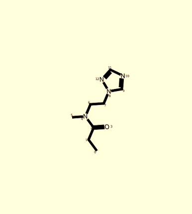 CCC(=O)N(C)CCn1cncn1